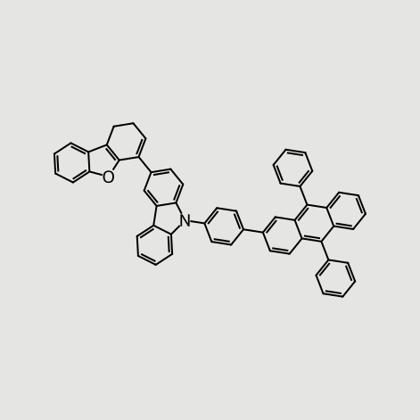 C1=C(c2ccc3c(c2)c2ccccc2n3-c2ccc(-c3ccc4c(-c5ccccc5)c5ccccc5c(-c5ccccc5)c4c3)cc2)c2oc3ccccc3c2CC1